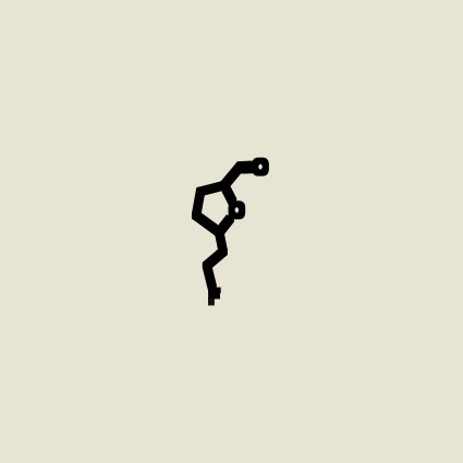 O=CC1CCC(CCF)O1